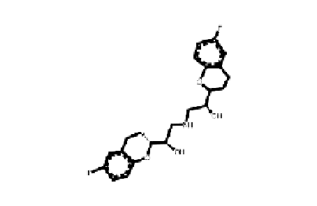 O[C@H](CNC[C@H](O)C1CCc2cc(F)ccc2O1)[C@H]1CCc2cc(F)ccc2O1